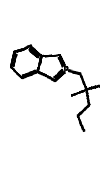 CCCC(C)(C)CP1=Cc2ccccc2C=1